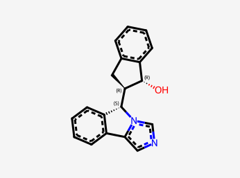 O[C@H]1c2ccccc2C[C@@H]1[C@H]1c2ccccc2-c2cncn21